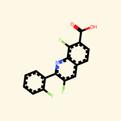 O=C(O)c1ccc2cc(F)c(-c3ccccc3F)nc2c1F